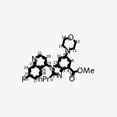 CCCc1nc2c(C(=O)OC)cc(N3CCOCC3)cc2n1-c1ccnc2cc(F)ccc12